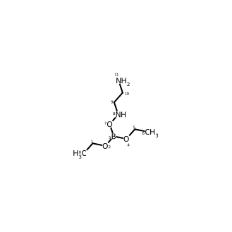 CCOB(OCC)ONCCN